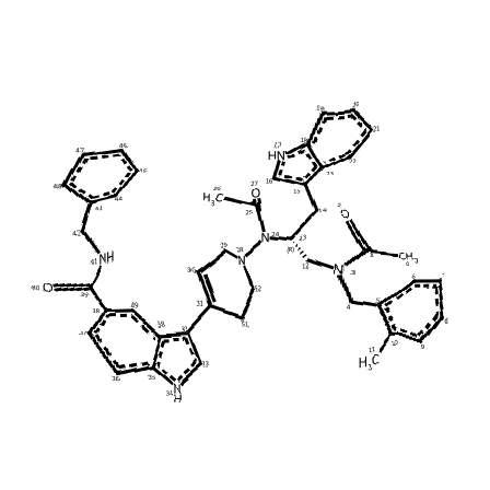 CC(=O)N(Cc1ccccc1C)C[C@@H](Cc1c[nH]c2ccccc12)N(C(C)=O)N1CC=C(c2c[nH]c3ccc(C(=O)NCc4ccccc4)cc23)CC1